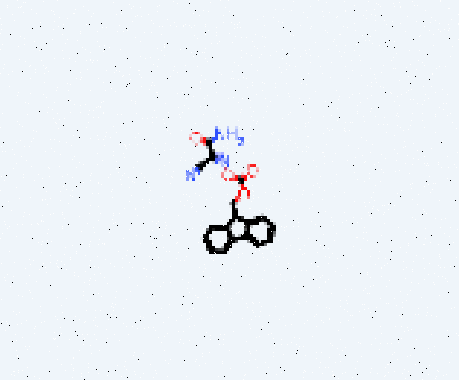 N#C/C(=N\OC(=O)OCC1c2ccccc2-c2ccccc21)C(N)=O